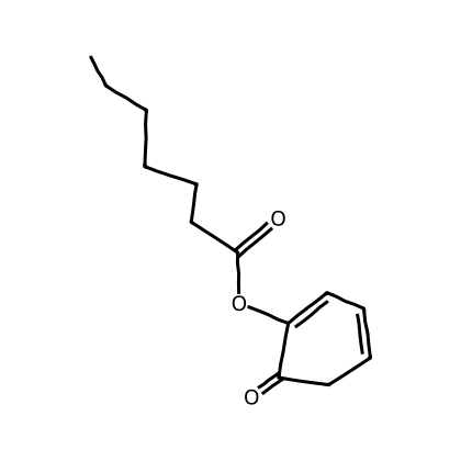 CCCCCCC(=O)OC1=CC=CCC1=O